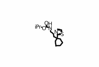 CC(C)OC(=O)NCCCC1(c2nccs2)CCCCC1